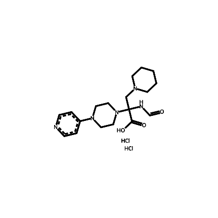 Cl.Cl.O=CNC(CN1CCCCC1)(C(=O)O)N1CCN(c2ccncc2)CC1